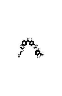 COCCOc1cnc2ccc(C(=O)c3ccc(NC(=O)Nc4ccc(Cl)c(C(F)(F)F)c4)cc3F)cc2n1